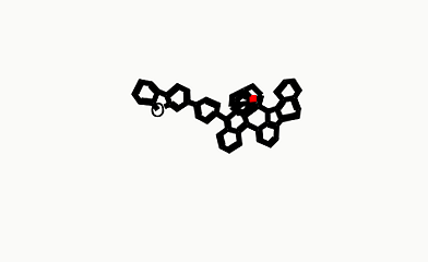 c1cc2c(c(-c3c4ccccc4c(-c4ccc(-c5ccc6c(c5)oc5ccccc56)cc4)c4ccccc34)c1)C(C1C3CC4CC(C3)CC1C4)c1c-2ccc2ccccc12